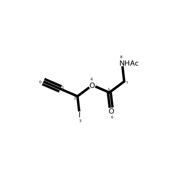 C#CC(I)OC(=O)CNC(C)=O